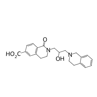 O=C(O)c1ccc2c(c1)CCN(CC(O)CN1CCc3ccccc3C1)C2=O